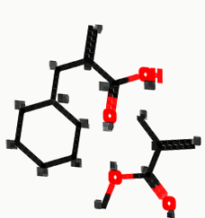 C=C(C)C(=O)OC.C=C(CC1CCCCC1)C(=O)O